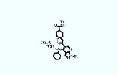 CCNC(=O)C1CCC2(CC1)CC(c1cnc3c(cnn3CC)c1NC1CCCCC1)=NO2.O=C(O)O